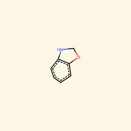 [CH]1Nc2ccccc2O1